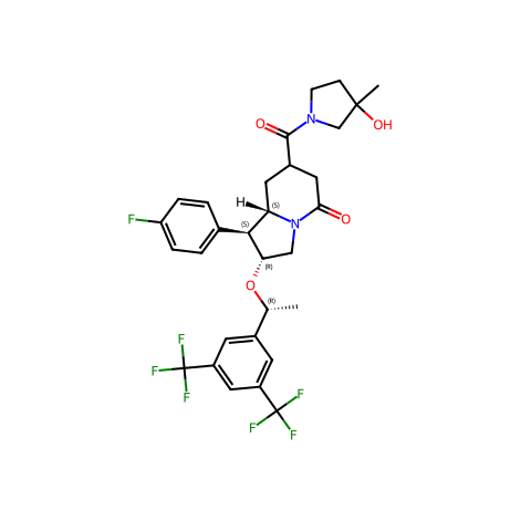 C[C@@H](O[C@H]1CN2C(=O)CC(C(=O)N3CCC(C)(O)C3)C[C@H]2[C@@H]1c1ccc(F)cc1)c1cc(C(F)(F)F)cc(C(F)(F)F)c1